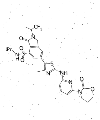 Cc1nc(Nc2cccc(N3CCCOC3=O)n2)sc1-c1cc2c(c(S(=O)(=O)NC(C)C)c1)C(=O)N(C(C)C(F)(F)F)C2